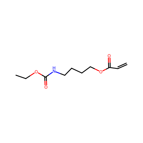 C=CC(=O)OCCCCNC(=O)OCC